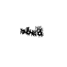 COc1nc(-c2nc(Nc3ccc(F)cc3C(F)(F)F)n(C)n2)ccc1-n1cnc(C)c1